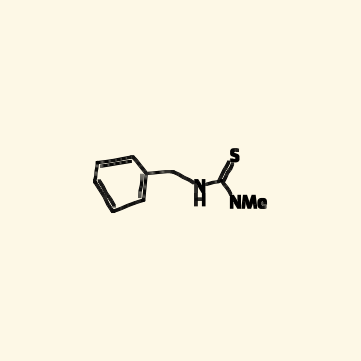 CNC(=S)NCc1ccccc1